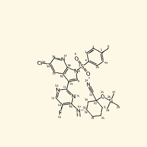 Cc1ccc(S(=O)(=O)n2cc(-c3ncc(F)c(N[C@H]4CCCC(C#N)(O[Si](C)(C)C)C4)n3)c3cc(Cl)cnc32)cc1